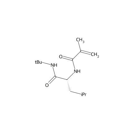 C=C(C)C(=O)N[C@H](CC(C)C)C(=O)NC(C)(C)C